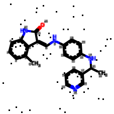 Cc1cccc2c1/C(=C/Nc1ccc(NC(C)c3cccnc3)cc1)C(=O)N2